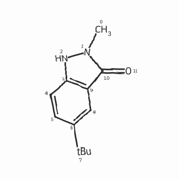 Cn1[nH]c2ccc(C(C)(C)C)cc2c1=O